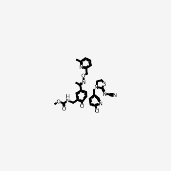 COC(=O)NCc1cc(/C(C)=N/OCc2cccc(C)n2)ccc1Cl.N#C/N=C1\SCCN1Cc1ccc(Cl)nc1